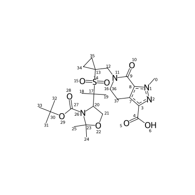 Cn1nc(C(=O)O)c2c1C(=O)N(CC1(S(=O)(=O)C(C)(C)C3COC(C)(C)N3C(=O)OC(C)(C)C)CC1)CC2